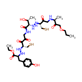 CCCOCC(=O)[C@H](C)NCC(=O)[C@H](CS)NN[C@H](C(=O)NCC(=O)C(=O)[C@H](CS)NNC(Cc1ccc(O)cc1)C(=O)OCC)[C@@H](C)O